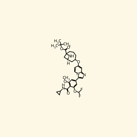 COc1cc(-c2cnc3cc(OC4CCCC5(C(=O)OC(C)(C)C)C[C@H](C4)N5)ccn23)cc(OC(F)F)c1C(=O)NC1CC1